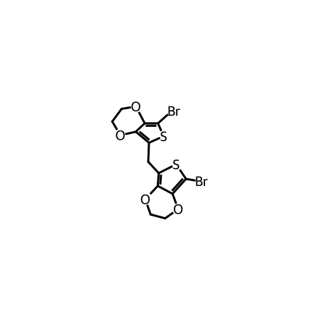 Brc1sc(Cc2sc(Br)c3c2OCCO3)c2c1OCCO2